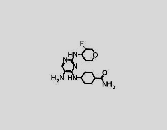 NC(=O)C1CCC(Nc2nc(N[C@H]3CCOC[C@H]3F)ncc2N)CC1